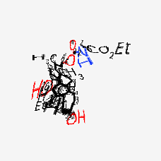 CCOC(=O)CNC(=O)OCC[C@@H](C)[C@H]1CC[C@H]2C3[C@H](O)[C@H](CC)[C@@H]4C[C@H](O)CC[C@]4(C)[C@H]3CC[C@]12C